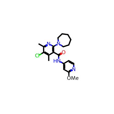 COc1cc(NC(=O)c2c(N3CCCCCC3)nc(C)c(Cl)c2C)ccn1